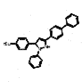 CC(C)(C)c1ccc(C2C=C(c3ccc(-c4ccccc4)cc3)NN2c2ccccc2)cc1